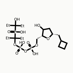 CCC(O)(CC)P(=O)(O)C(CC)(CC)OP(=O)(O)OP(=O)(O)OC[C@H]1O[C@@H](CC2CCC2)CC1O